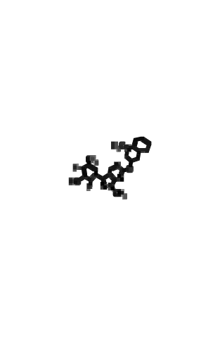 CN1CC(Oc2ncc3c(-c4cc(C(F)(F)F)c(F)c(O)c4F)nn(C)c3n2)Cc2ccccc21